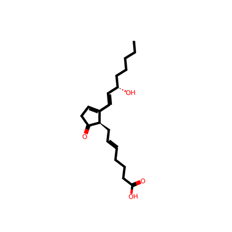 CCCCC[C@H](O)C=CC1=CCC(=O)[C@@H]1CC=CCCCC(=O)O